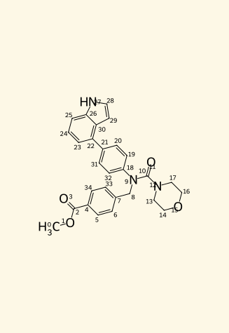 COC(=O)c1ccc(CN(C(=O)N2CCOCC2)c2ccc(-c3cccc4[nH]ccc34)cc2)cc1